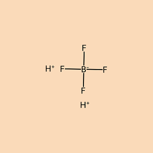 F[B-](F)(F)F.[H+].[H+]